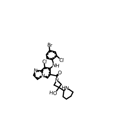 O=C(c1cn2ccnc2c(Cl)c1Nc1ccc(Br)cc1Cl)N1CC(O)(C2CCCCN2)C1